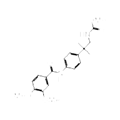 COC(=O)NCC(C)(C)c1ccc(NC(=O)c2ccc(OC)c(OC)c2)cc1